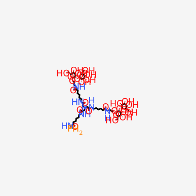 O=C(CCCCCNC(=O)CN(CC(=O)NCCCCCC(=O)NCCO[C@H]1O[C@H](CO)[C@@H](O)[C@H](O)[C@@H]1O[C@H]1O[C@H](CO)[C@@H](O)[C@H](O)[C@@H]1O)CC(=O)NCCCCCC(=O)NCCO[C@H]1O[C@H](CO)[C@@H](O)[C@H](O)[C@@H]1O[C@H]1O[C@H](CO)[C@@H](O)[C@H](O)[C@@H]1O)NP